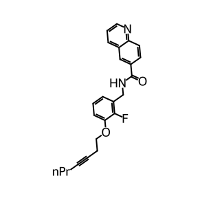 CCCC#CCCOc1cccc(CNC(=O)c2ccc3ncccc3c2)c1F